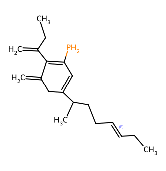 C=C(CC)C1=C(P)C=C(C(C)CC/C=C/CC)CC1=C